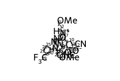 COCCC[N+](C)(C)CCc1cc(C#N)ccc1C1C(C(=O)OC)=C(C)N(c2cccc(C(F)(F)F)c2)c2n[nH]c(=O)n21.O=C[O-]